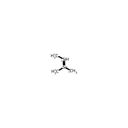 C[SiH]=[Si](C)C